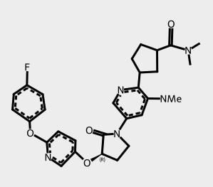 CNc1cc(N2CC[C@@H](Oc3ccc(Oc4ccc(F)cc4)nc3)C2=O)cnc1C1CCC(C(=O)N(C)C)C1